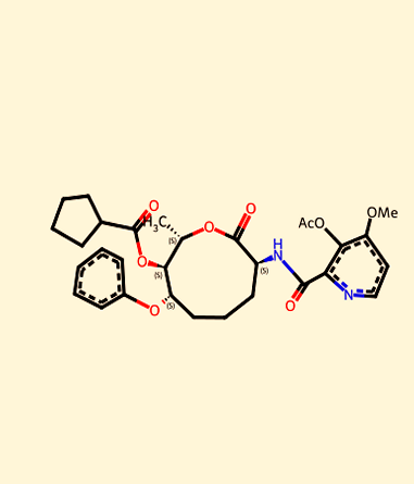 COc1ccnc(C(=O)N[C@H]2CCC[C@H](Oc3ccccc3)[C@@H](OC(=O)C3CCCC3)[C@H](C)OC2=O)c1OC(C)=O